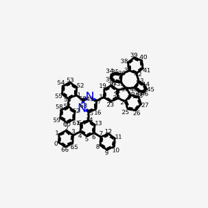 c1ccc(-c2cc(-c3ccccc3)cc(-c3cc(-c4ccc5c(c4)-c4ccccc4C54c5ccccc5-c5ccccc5-c5ccccc54)nc(-c4ccccc4-c4ccccc4)n3)c2)cc1